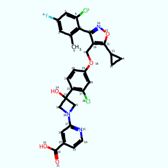 Cc1cc(F)cc(Cl)c1-c1noc(C2CC2)c1COc1ccc(C2(O)CN(c3cc(C(=O)O)ccn3)C2)c(Cl)c1